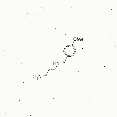 COc1ccc(CNCCCN)cn1